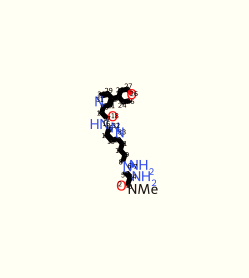 CNC(=O)/C(N)=C/N(N)CCCCc1ccc(NC(=O)Cc2cc(C3CCOCC3)ccn2)nn1